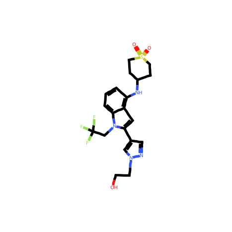 O=S1(=O)CCC(Nc2cccc3c2cc(-c2cnn(CCO)c2)n3CC(F)(F)F)CC1